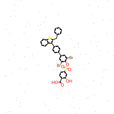 O=C(O)c1ccc(S(=O)(=O)Oc2c(Br)cc(-c3ccc(-c4c(Cc5ccccc5)sc5ccccc45)cc3)cc2Br)cc1O